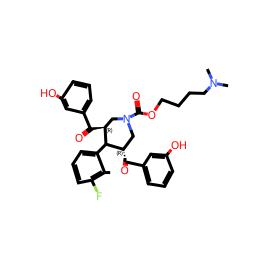 Cc1c(F)cccc1C1[C@@H](C(=O)c2cccc(O)c2)CN(C(=O)OCCCCN(C)C)C[C@@H]1C(=O)c1cccc(O)c1